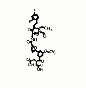 CCOc1cc(C(=O)N(CC(=O)O)CC(=O)O)cc(-c2ccc(C(=O)NCNC(=O)C(CCc3ccc(F)cc3F)C(CC)N(O)C=O)o2)c1